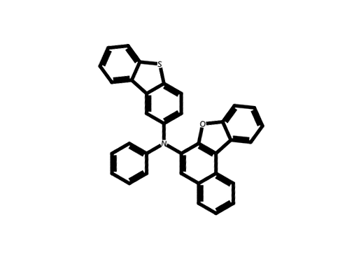 c1ccc(N(c2ccc3sc4ccccc4c3c2)c2cc3ccccc3c3c2oc2ccccc23)cc1